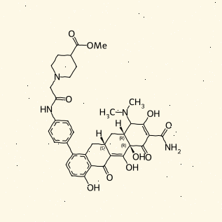 COC(=O)C1CCN(CC(=O)Nc2ccc(-c3ccc(O)c4c3C[C@@H]3C[C@@H]5C(N(C)C)C(O)=C(C(N)=O)C(=O)[C@]5(O)C(O)=C3C4=O)cc2)CC1